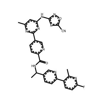 Cc1cc(Nc2noc(C#N)n2)nc(-c2ccc(C(=O)NC(C)c3ccc(-c4ccc(F)nc4C)nc3)nc2)n1